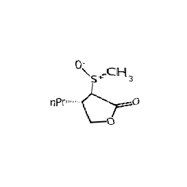 CCC[C@H]1COC(=O)C1[S+](C)[O-]